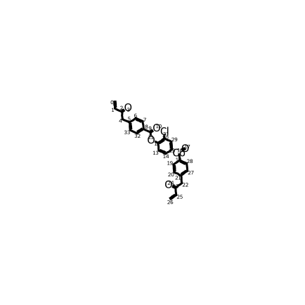 C=CC(=O)Cc1ccc(C(=O)Oc2cc[c]([Co](=[O])[c]3ccc(CC(=O)C=C)cc3)cc2Cl)cc1